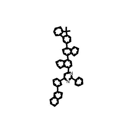 CC1(C)c2ccccc2-c2cc(-c3ccc(-c4ccc(-c5cc(-c6cccc(-c7ccc8ccccc8c7)c6)nc(-c6ccccc6)n5)c5ccccc45)c4ccccc34)ccc21